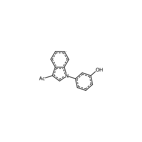 CC(=O)c1cn(-c2cccc(O)c2)c2c[c]ccc12